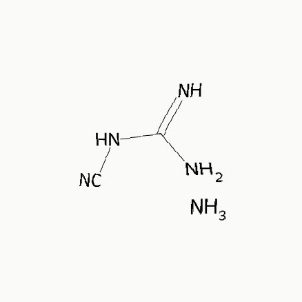 N.N#CNC(=N)N